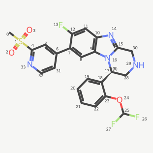 CS(=O)(=O)c1cc(-c2cc3c(cc2F)nc2n3[C@H](c3ccccc3OC(F)F)CNC2)ccn1